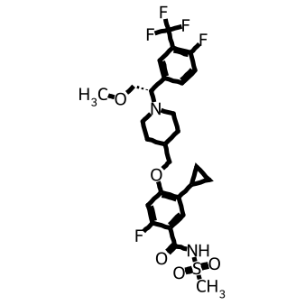 COC[C@H](c1ccc(F)c(C(F)(F)F)c1)N1CCC(COc2cc(F)c(C(=O)NS(C)(=O)=O)cc2C2CC2)CC1